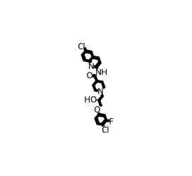 O=C(Nc1ccc2cc(Cl)ccc2n1)C1CCN(C[C@@H](O)COc2ccc(Cl)c(F)c2)CC1